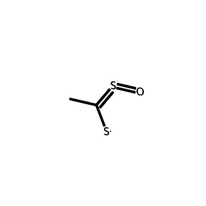 CC([S])=S=O